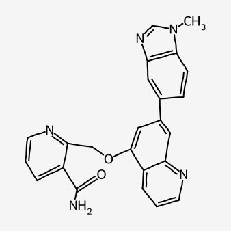 Cn1cnc2cc(-c3cc(OCc4ncccc4C(N)=O)c4cccnc4c3)ccc21